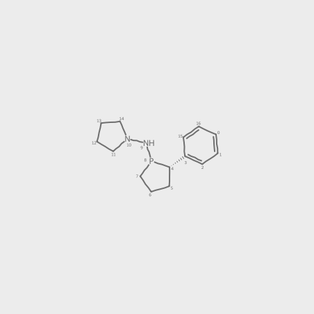 c1ccc([C@@H]2CCCP2NN2CCCC2)cc1